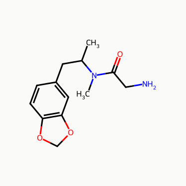 CC(Cc1ccc2c(c1)OCO2)N(C)C(=O)CN